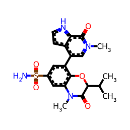 CC(C)C1Oc2c(-c3cn(C)c(=O)c4[nH]ccc34)cc(S(N)(=O)=O)cc2N(C)C1=O